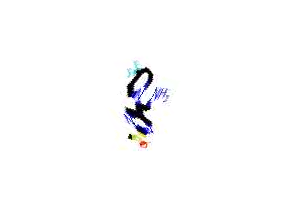 C[S+]([O-])c1ncc(C(CN)N2CCC(F)(F)CC2)cn1